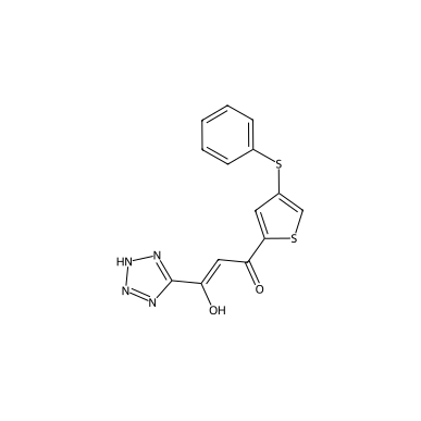 O=C(C=C(O)c1nn[nH]n1)c1cc(Sc2ccccc2)cs1